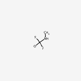 CNC([O])(F)F